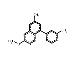 COc1cc2cc(C)cc(-c3ccnc(C)c3)c2nn1